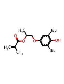 C=C(C)C(=O)OC(C)COc1cc(C(C)(C)C)c(O)c(C(C)(C)C)c1